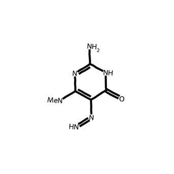 CNc1nc(N)[nH]c(=O)c1N=N